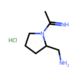 CC(=N)N1CCCC1CN.Cl